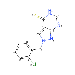 S=c1[nH]cnc2nn(Cc3ccccc3Cl)cc12